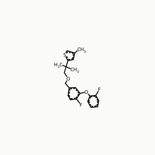 Cc1csc(C(C)(C)COCc2ccc(F)c(Oc3ccccc3F)c2)c1